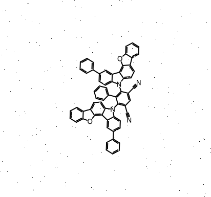 N#Cc1cc(C#N)c(-n2c3ccc(-c4ccccc4)cc3c3c4oc5ccccc5c4ccc32)c(-c2ccccc2)c1-n1c2ccc(-c3ccccc3)cc2c2c3oc4ccccc4c3ccc21